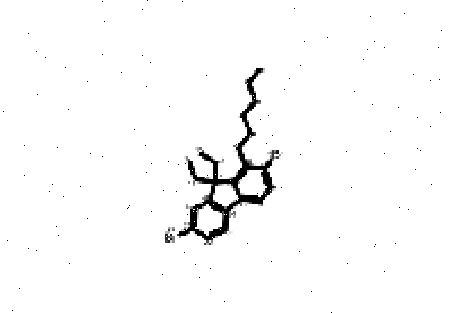 CCCCCCc1c(Br)ccc2c1C(CC)(CC)c1cc(Br)ccc1-2